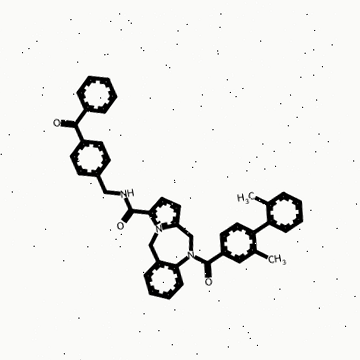 Cc1ccccc1-c1ccc(C(=O)N2Cc3ccc(C(=O)NCc4ccc(C(=O)c5ccccc5)cc4)n3Cc3ccccc32)cc1C